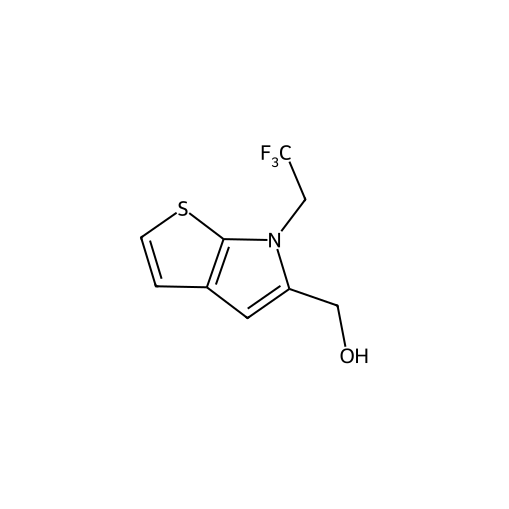 OCc1cc2ccsc2n1CC(F)(F)F